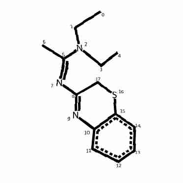 CCN(CC)C(C)=NC1=Nc2ccccc2SC1